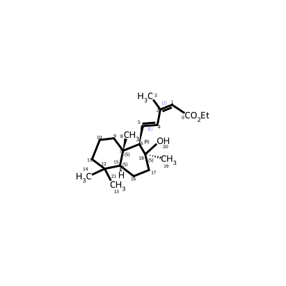 CCOC(=O)/C=C(C)\C=C\[C@@H]1[C@@]2(C)CCCC(C)(C)[C@@H]2CC[C@]1(C)O